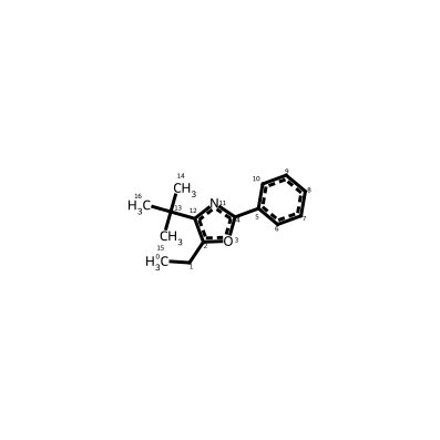 CCc1oc(-c2ccccc2)nc1C(C)(C)C